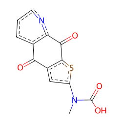 CN(C(=O)O)c1cc2c(s1)C(=O)c1ncccc1C2=O